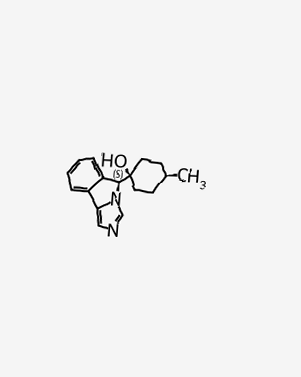 C[C@H]1CC[C@](O)([C@@H]2c3ccccc3-c3cncn32)CC1